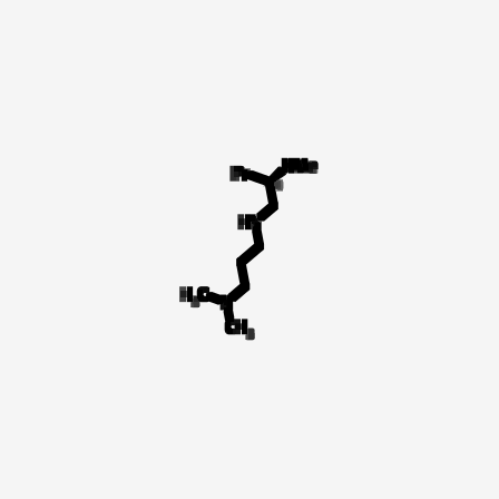 CN[C@@H](CNCCCN(C)C)C(C)C